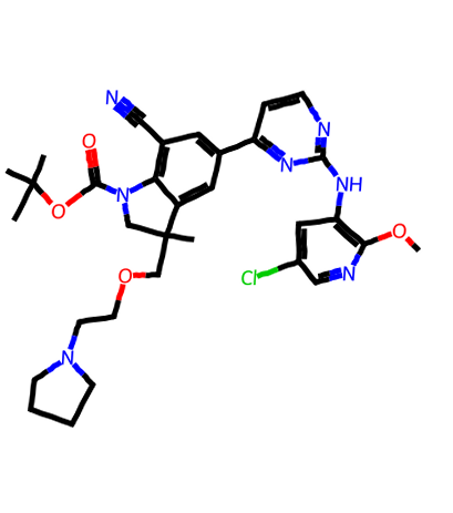 COc1ncc(Cl)cc1Nc1nccc(-c2cc(C#N)c3c(c2)C(C)(COCCN2CCCC2)CN3C(=O)OC(C)(C)C)n1